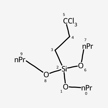 CCCO[Si](CCC(Cl)(Cl)Cl)(OCCC)OCCC